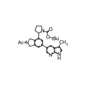 CC(=O)N1Cc2cc(-c3cnc4[nH]cc(C)c4c3)cc(C3CCCN3C(=O)OC(C)(C)C)c2C1